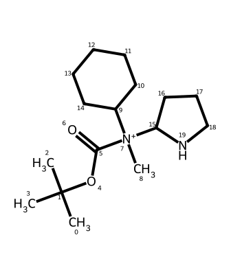 CC(C)(C)OC(=O)[N+](C)(C1CCCCC1)C1CCCN1